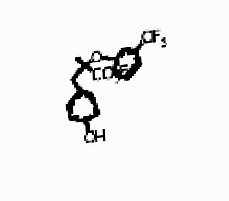 CCOC(=O)C(C)(Cc1ccc(O)cc1)Oc1cccc(C(F)(F)F)c1